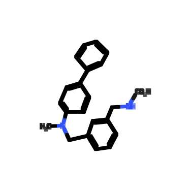 CN(Cc1cccc(CNC(=O)O)c1)c1ccc(-c2ccccc2)cc1